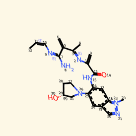 C=C(/N=C(\C)C(=C)/C(N)=N\C=C/C)C(=O)Nc1cc2c(cnn2C)cc1N1CC[C@@H](O)C1